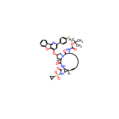 CC(C)(C)OC(=O)N[C@H]1CCCCC/C=C\[C@@H]2C[C@@]2(C(=O)NS(=O)(=O)C2CC2)NC(=O)[C@@H]2C[C@@H](Oc3cc(-c4ccc(F)cc4)nc4c3oc3ccccc34)CN2C1=O